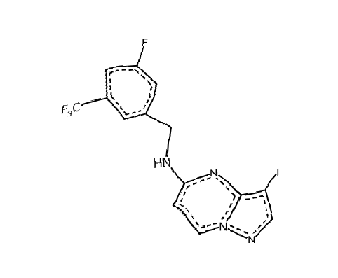 Fc1cc(CNc2ccn3ncc(I)c3n2)cc(C(F)(F)F)c1